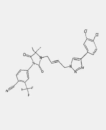 CC1(C)C(=O)N(c2ccc(C#N)c(C(F)(F)F)c2)C(=O)N1CC=CCn1cc(-c2ccc(Cl)c(Cl)c2)nn1